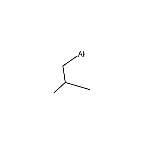 CC(C)[CH2][Al]